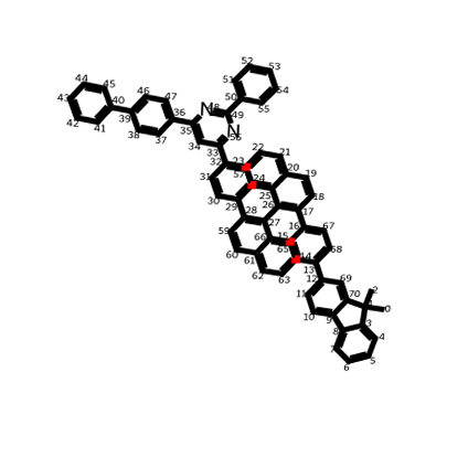 CC1(C)c2ccccc2-c2ccc(-c3ccc(-c4ccc5ccccc5c4-c4c(-c5ccc(-c6cc(-c7ccc(-c8ccccc8)cc7)nc(-c7ccccc7)n6)cc5)ccc5ccccc45)cc3)cc21